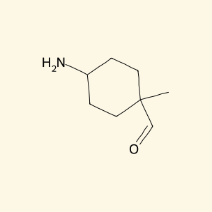 CC1(C=O)CCC(N)CC1